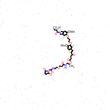 COc1cc2c(c(F)c1OCCCOc1c(OC)cc3sc(C(=O)CCC(=O)O[C@@H](C)CNC(=O)CCOCCNC(=O)CN4C(=O)C=CC4=O)cc3c1F)CN(C(=O)CCC(=O)O)C2